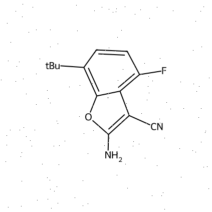 CC(C)(C)c1ccc(F)c2c(C#N)c(N)oc12